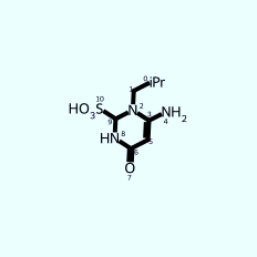 CC(C)CN1C(N)=CC(=O)NC1S(=O)(=O)O